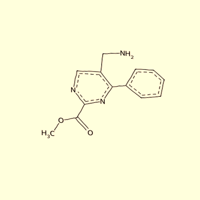 COC(=O)c1ncc(CN)c(-c2ccccc2)n1